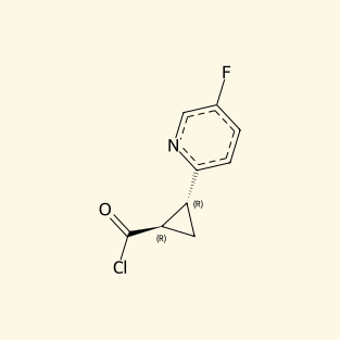 O=C(Cl)[C@@H]1C[C@H]1c1ccc(F)cn1